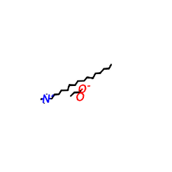 CCC(=O)[O-].CCCCCCCCCCCCCCCC[N+](C)(C)C